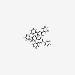 c1ccc(-c2cc(-c3ccccc3)cc(-c3cc(-c4ccccc4)nc(-c4ccccc4-c4cccc5oc6ccccc6c45)n3)c2)cc1